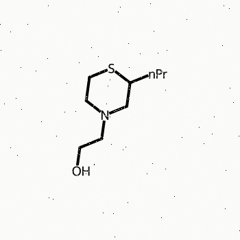 CCCC1CN(CCO)CCS1